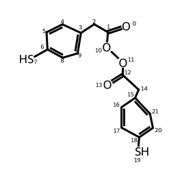 O=C(Cc1ccc(S)cc1)OOC(=O)Cc1ccc(S)cc1